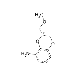 COC[C@@H]1COc2cccc(N)c2O1